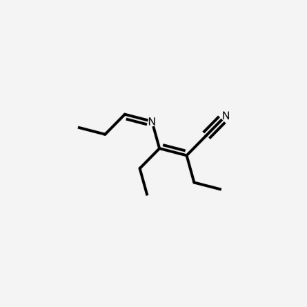 CC/C=N\C(CC)=C(/C#N)CC